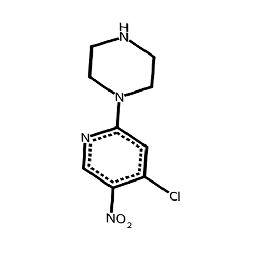 O=[N+]([O-])c1cnc(N2CCNCC2)cc1Cl